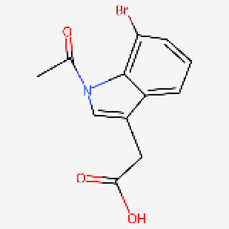 CC(=O)n1cc(CC(=O)O)c2cccc(Br)c21